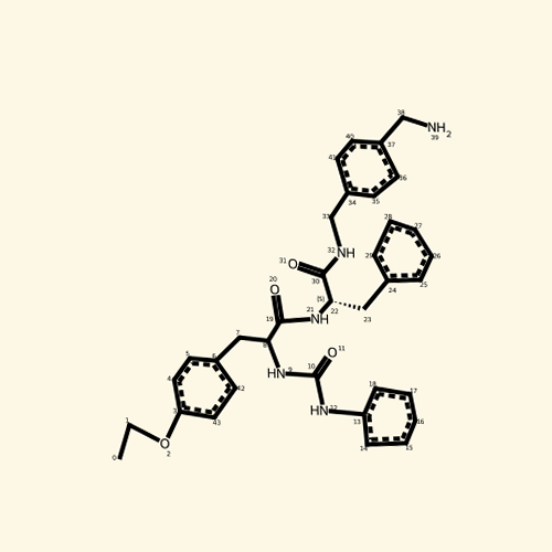 CCOc1ccc(CC(NC(=O)Nc2ccccc2)C(=O)N[C@@H](Cc2ccccc2)C(=O)NCc2ccc(CN)cc2)cc1